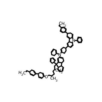 C=Cc1ccc(C2C=C3C(=CC2)N(c2ccccc2)C2C=CC(C4CC=C(N(C5=CCC6C(=C5)C(CC(C)CCC(C)COC5=CCC(C7=CCC(C=C)C=C7)C=C5)(C5C=CC=CC5)C5C=CC=CC65)C5=CC=CCC5)CC4)=CC32)cc1